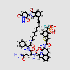 NC(=O)CC[C@H](NC(=O)[C@@H]1Cc2cccc3c2N1C(=O)[C@@H](NC(=O)c1cc2cc(C(F)(F)P(=O)(O)O)ccc2s1)CC3)C(=O)NC(C(=O)NCCCCCCCC#Cc1cccc2c1CN(C1CCC(=O)NC1=O)C2=O)C1CCCCC1